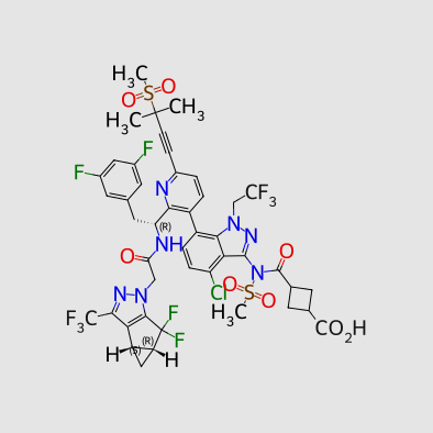 CC(C)(C#Cc1ccc(-c2ccc(Cl)c3c(N(C(=O)C4CC(C(=O)O)C4)S(C)(=O)=O)nn(CC(F)(F)F)c23)c([C@@H](Cc2cc(F)cc(F)c2)NC(=O)Cn2nc(C(F)(F)F)c3c2C(F)(F)[C@@H]2C[C@H]32)n1)S(C)(=O)=O